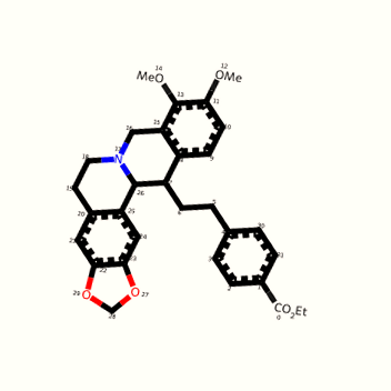 CCOC(=O)c1ccc(CCC2c3ccc(OC)c(OC)c3CN3CCc4cc5c(cc4C23)OCO5)cc1